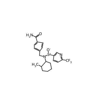 CC1CCCCC1N(Cc1ccc(C(N)=O)cc1)[S+]([O-])c1ccc(C(F)(F)F)nc1